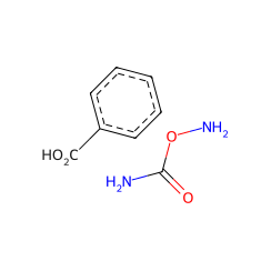 NOC(N)=O.O=C(O)c1ccccc1